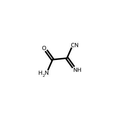 N#CC(=N)C(N)=O